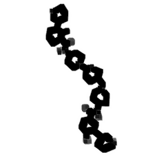 Cc1c(C(=O)NC2CCN(c3ccc(CN4CCC(NC(=O)c5ccc(Cl)c(-c6cccnc6)c5)CC4)cn3)CC2)cccc1-c1cccnc1